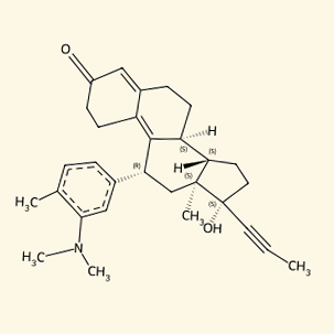 CC#C[C@]1(O)CC[C@H]2[C@@H]3CCC4=CC(=O)CCC4=C3[C@@H](c3ccc(C)c(N(C)C)c3)C[C@@]21C